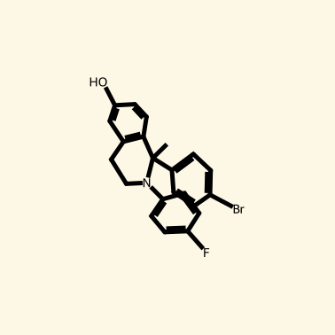 CC1(c2ccc(Br)cc2)c2ccc(O)cc2CCN1c1ccc(F)cc1